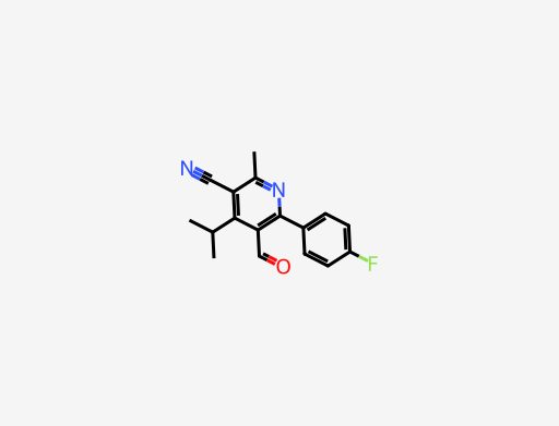 Cc1nc(-c2ccc(F)cc2)c(C=O)c(C(C)C)c1C#N